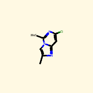 CSc1nc(Cl)cc2nc(C)cn12